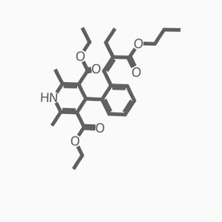 CCCOC(=O)C(=Cc1ccccc1C1C(C(=O)OCC)=C(C)NC(C)=C1C(=O)OCC)CC